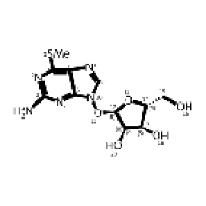 CSc1nc(N)nc2c1ncn2O[C@H]1O[C@H](CO)[C@@H](O)[C@H]1O